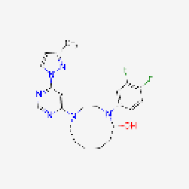 OC1CCCCCN(c2cc(-n3ccc(C(F)(F)F)n3)ncn2)CCN1c1ccc(F)c(F)c1